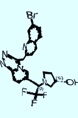 O[C@H]1CCN([C@H](c2ccc3nnc(-c4ccc5ccc(Br)cc5n4)n3c2)C(F)(F)F)C1